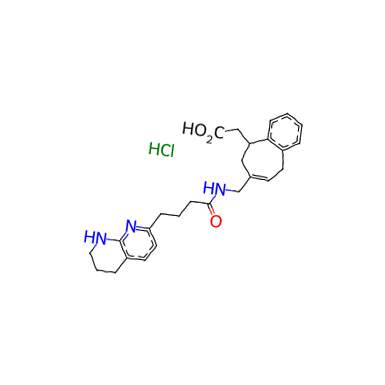 Cl.O=C(O)CC1CC(CNC(=O)CCCc2ccc3c(n2)NCCC3)=CCc2ccccc21